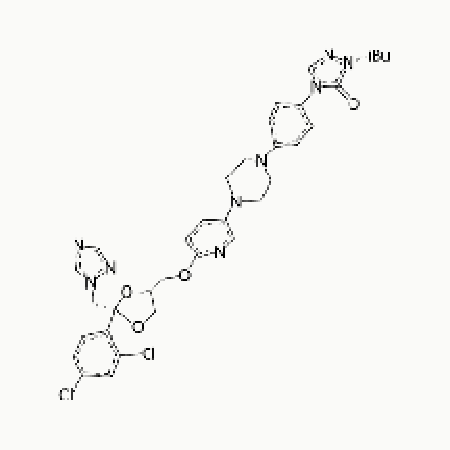 CC[C@@H](C)n1ncn(-c2ccc(N3CCN(c4ccc(OC[C@@H]5CO[C@@](Cn6cncn6)(c6ccc(Cl)cc6Cl)O5)nc4)CC3)cc2)c1=O